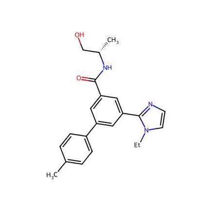 CCn1ccnc1-c1cc(C(=O)N[C@@H](C)CO)cc(-c2ccc(C)cc2)c1